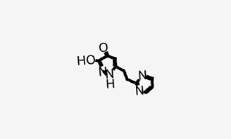 O=c1cc(CCc2ncccn2)[nH]nc1O